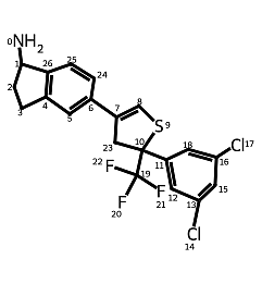 NC1CCc2cc(C3=CSC(c4cc(Cl)cc(Cl)c4)(C(F)(F)F)C3)ccc21